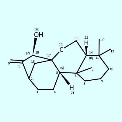 C=C1C2CC[C@H]3C4(C)CCCC(C)(C)[C@H]4CCC3(C2)[C@@H]1O